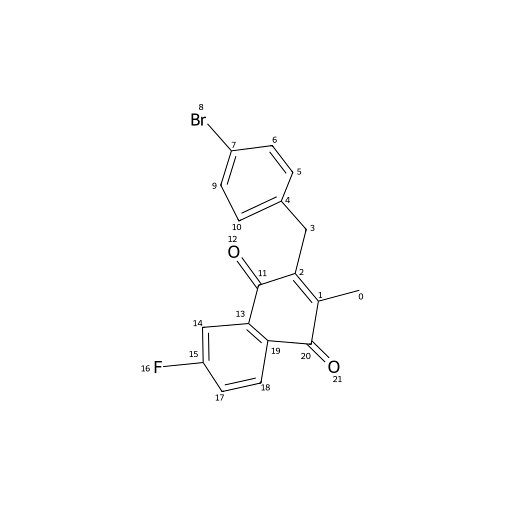 CC1=C(Cc2ccc(Br)cc2)C(=O)c2cc(F)ccc2C1=O